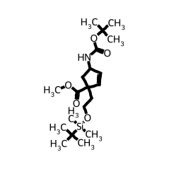 COC(=O)C1(CCO[Si](C)(C)C(C)(C)C)C=CC(NC(=O)OC(C)(C)C)C1